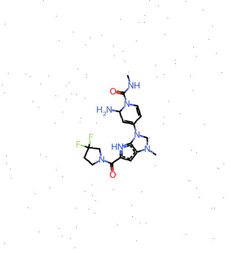 CNC(=O)N1C=CC(N2CN(C)c3cc(C(=O)N4CCC(F)(F)C4)[nH]c32)=CC1N